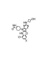 NC(=O)[C@H]1CC[C@@H](n2c(Nc3c(Cl)cc(F)cc3Cl)nc3cnc(N[C@H]4C[C@H](O)C4)nc32)CC1